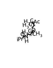 CC(=O)C(C)(C)CCOC(C)(C)CCNC(=O)C(C)C